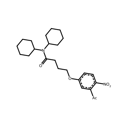 CC(=O)c1cc(OCCCC(=O)N(C2CCCCC2)C2CCCCC2)ccc1[N+](=O)[O-]